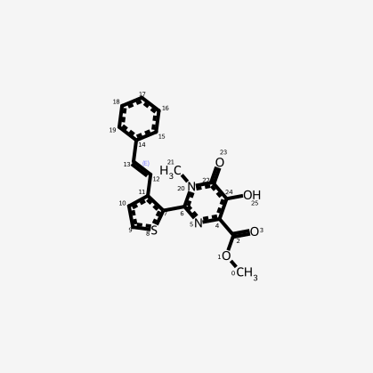 COC(=O)c1nc(-c2sccc2/C=C/c2ccccc2)n(C)c(=O)c1O